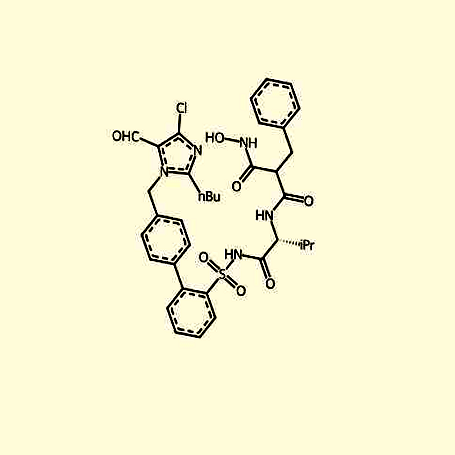 CCCCc1nc(Cl)c(C=O)n1Cc1ccc(-c2ccccc2S(=O)(=O)NC(=O)[C@H](NC(=O)C(Cc2ccccc2)C(=O)NO)C(C)C)cc1